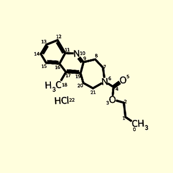 CCCOC(=O)N1CCc2nc3ccccc3c(C)c2CC1.Cl